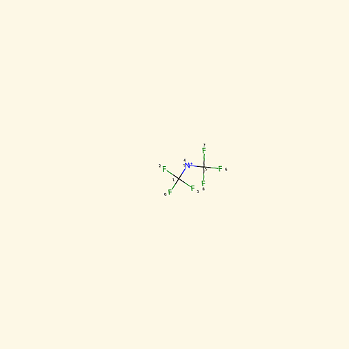 FC(F)(F)[N+]C(F)(F)F